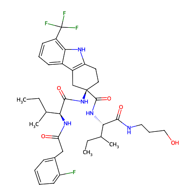 CCC(C)[C@H](NC(=O)Cc1ccccc1F)C(=O)N[C@]1(C(=O)N[C@H](C(=O)NCCCO)C(C)CC)CCc2[nH]c3c(C(F)(F)F)cccc3c2C1